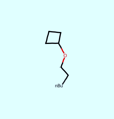 [CH2]CCCC[CH]OC1CCC1